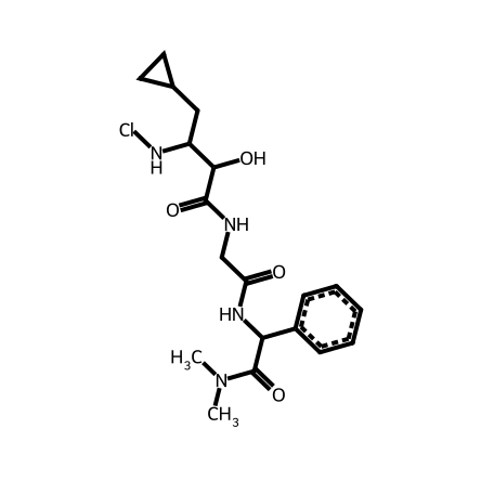 CN(C)C(=O)C(NC(=O)CNC(=O)C(O)C(CC1CC1)NCl)c1ccccc1